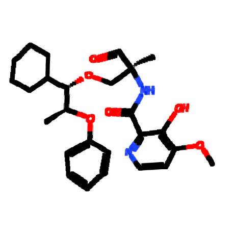 COc1ccnc(C(=O)N[C@](C)(C=O)CO[C@@H](C2CCCCC2)[C@H](C)Oc2ccccc2)c1O